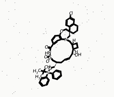 CC(C)(C)[Si](OC[C@H]1C/C=C/[C@@H](O)[C@@H]2CC[C@H]2CN2C[C@@]3(CCCc4cc(Cl)ccc43)COc3ccc(cc32)C(=O)NS(=O)(=O)C1)(c1ccccc1)c1ccccc1